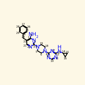 Nc1nc(N2CCN(c3ncnc(NC4CC4)n3)CC2)ncc1Cc1ccccc1